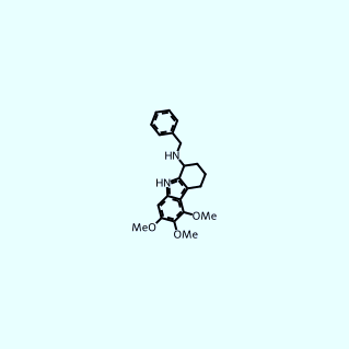 COc1cc2[nH]c3c(c2c(OC)c1OC)CCCC3NCc1ccccc1